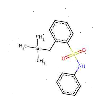 [CH3][Sn]([CH3])([CH3])[CH2]c1ccccc1S(=O)(=O)Nc1ccccc1